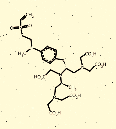 C=CS(=O)(=O)CCN(C)c1ccc(C[C@H](CN(CC(=O)O)CC(=O)O)N(CC(=O)O)[C@@H](C)CN(CC(=O)O)CC(=O)O)cc1